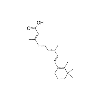 CC(C=CC1=C(C)C(C)(C)CCC1)=CC=CC(C)=CC(=O)O